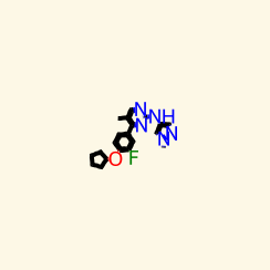 Cc1cnc(Nc2cnn(C)c2)nc1-c1ccc(OC2CCCC2)c(F)c1